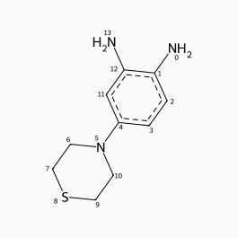 Nc1ccc(N2CCSCC2)cc1N